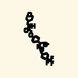 COC/C(=N\OCc1ccc(C(F)(F)F)cc1)c1ccc(OCC(=O)NCC2CCOCC2)cc1